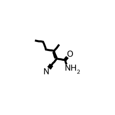 CCC/C(C)=C(\C#N)C(N)=O